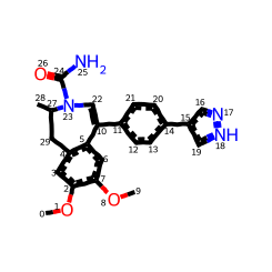 COc1cc2c(cc1OC)C(c1ccc(-c3cn[nH]c3)cc1)=CN(C(N)=O)C(C)C2